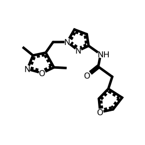 Cc1noc(C)c1Cn1ccc(NC(=O)Cc2ccoc2)n1